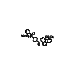 CCOC(=O)[C@]1(c2ccccc2)CC[C@@H](C(=O)N2CCC(NC(=O)c3ccccc3OC)CC2)c2ccccc21